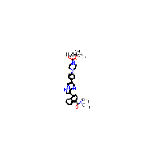 CN(C)C(=O)c1ccc(-c2cnn3cc(-c4ccc(N5CCN(C(=O)OC(C)(C)C)CC5)cc4)cnc23)c2ccccc12